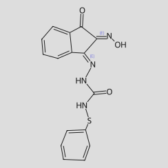 O=C(N/N=c1/c(=N\O)c(=O)c2ccccc12)NSc1ccccc1